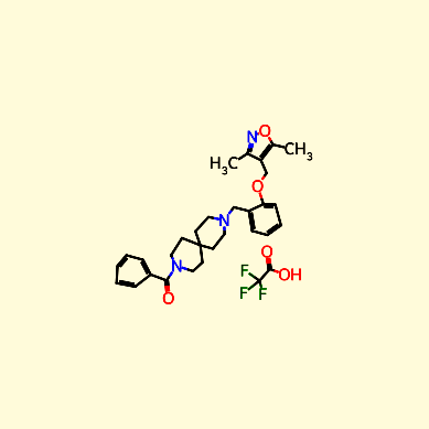 Cc1noc(C)c1COc1ccccc1CN1CCC2(CC1)CCN(C(=O)c1ccccc1)CC2.O=C(O)C(F)(F)F